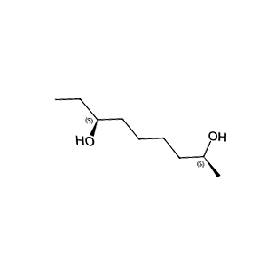 CC[C@H](O)CCCC[C@H](C)O